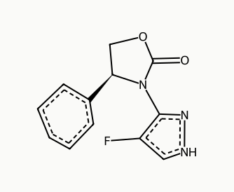 O=C1OC[C@H](c2ccccc2)N1c1n[nH]cc1F